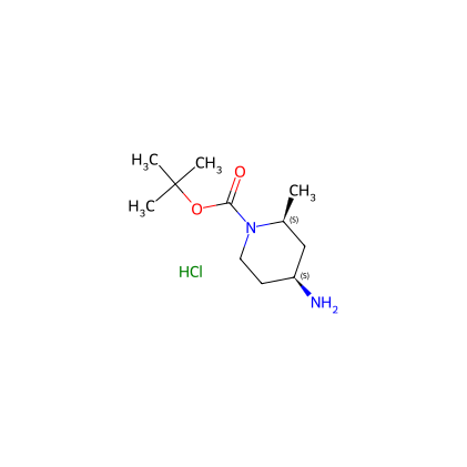 C[C@H]1C[C@@H](N)CCN1C(=O)OC(C)(C)C.Cl